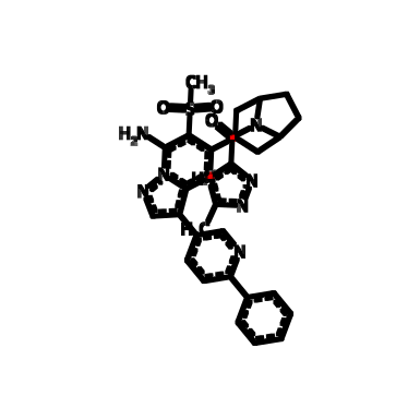 Cc1nnc(C(=O)N2C3CCC2CC(c2nc4c(-c5ccc(-c6ccccc6)nc5)cnn4c(N)c2S(C)(=O)=O)C3)[nH]1